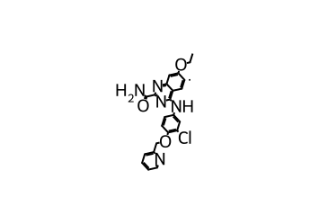 CCOc1[c]cc2c(Nc3ccc(OCc4ccccn4)c(Cl)c3)nc(C(N)=O)nc2c1